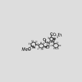 CCOC(=O)c1cc(NC(=O)c2cc(-c3cccc(OC)n3)ccc2Cl)n(-c2ccccc2)n1